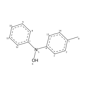 Cc1ccc(N(O)c2ccccc2)cc1